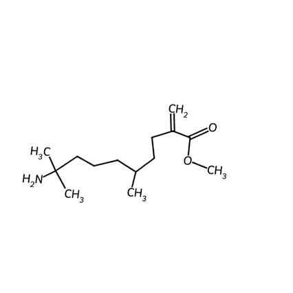 C=C(CCC(C)CCCC(C)(C)N)C(=O)OC